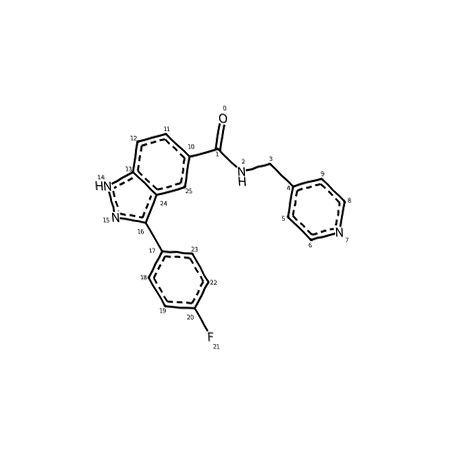 O=C(NCc1ccncc1)c1ccc2[nH]nc(-c3ccc(F)cc3)c2c1